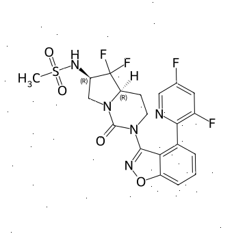 CS(=O)(=O)N[C@@H]1CN2C(=O)N(c3noc4cccc(-c5ncc(F)cc5F)c34)CC[C@@H]2C1(F)F